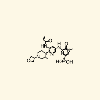 C=CC(=O)Nc1cc(Nc2nc(B(O)O)cn(C)c2=O)cnc1N1CCN(C2COC2)CC1C